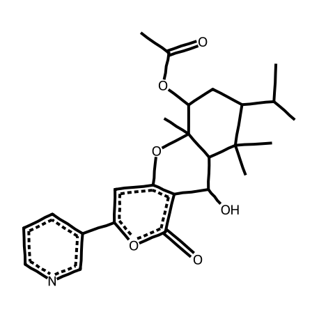 CC(=O)OC1CC(C(C)C)C(C)(C)C2C(O)c3c(cc(-c4cccnc4)oc3=O)OC12C